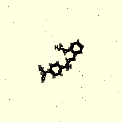 COc1ccccc1/C=N/Nc1ccc([N+](=O)[O-])cc1